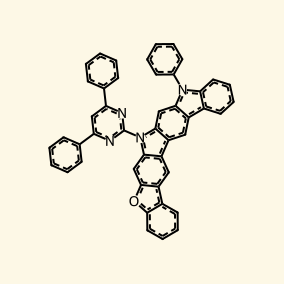 c1ccc(-c2cc(-c3ccccc3)nc(-n3c4cc5oc6ccccc6c5cc4c4cc5c6ccccc6n(-c6ccccc6)c5cc43)n2)cc1